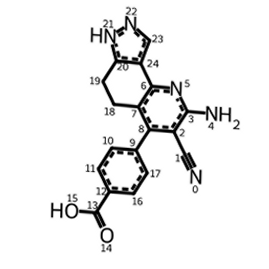 N#Cc1c(N)nc2c(c1-c1ccc(C(=O)O)cc1)CCc1[nH]ncc1-2